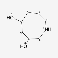 OC1CCCNCC(O)C1